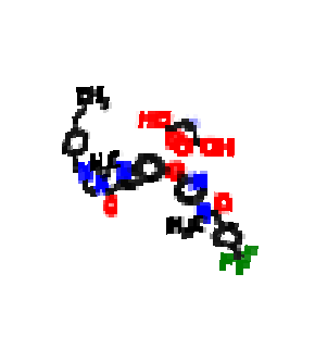 CCCc1ccc(CN2CCN(C(=O)c3cc4cc(Oc5ccc(N(C)C(=O)c6ccc(C(F)(F)F)cc6)cn5)ccc4n3C)CC2)cc1.O=C(O)/C=C\C(=O)O